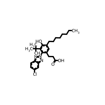 CCCCCCCCc1cc(CCC(=O)O)c(-n2nc3ccc(Cl)cc3n2)c(C(C)(C)C)c1O